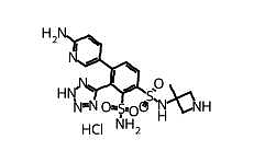 CC1(NS(=O)(=O)c2ccc(-c3ccc(N)nc3)c(-c3nn[nH]n3)c2S(N)(=O)=O)CNC1.Cl